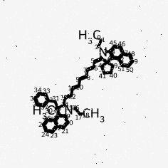 CCCN1/C(=C/C=C/C=C/C=C/C=C/C2=[N+](CCC)c3ccc4ccccc4c3C2(C)Cc2ccccc2)C2(CCCC2)c2c1ccc1ccccc21